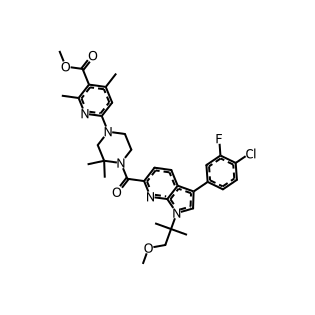 COCC(C)(C)n1cc(-c2ccc(Cl)c(F)c2)c2ccc(C(=O)N3CCN(c4cc(C)c(C(=O)OC)c(C)n4)CC3(C)C)nc21